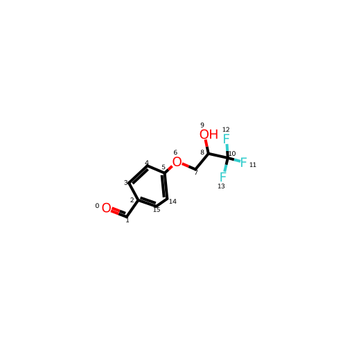 O=Cc1ccc(OCC(O)C(F)(F)F)cc1